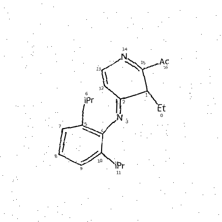 CCC1C(=Nc2c(C(C)C)cccc2C(C)C)C=CN=C1C(C)=O